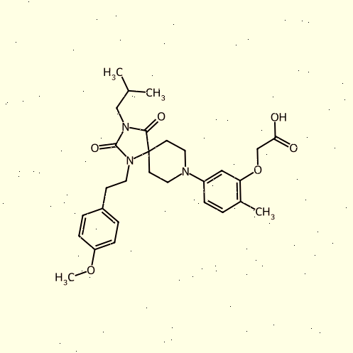 COc1ccc(CCN2C(=O)N(CC(C)C)C(=O)C23CCN(c2ccc(C)c(OCC(=O)O)c2)CC3)cc1